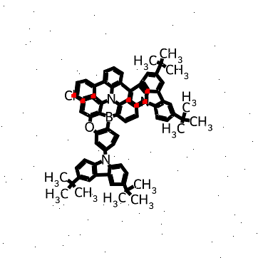 CC(C)(C)c1ccc2c(c1)c1cc(C(C)(C)C)ccc1n2-c1ccc2c(c1)Oc1cc(Cl)cc3c1B2c1ccc(-n2c4ccc(C(C)(C)C)cc4c4cc(C(C)(C)C)ccc42)cc1N3c1c(-c2ccccc2)cccc1-c1ccccc1